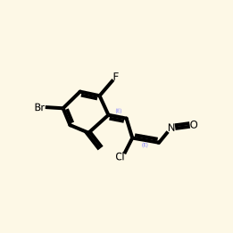 C=c1cc(Br)cc(F)/c1=C/C(Cl)=C\N=O